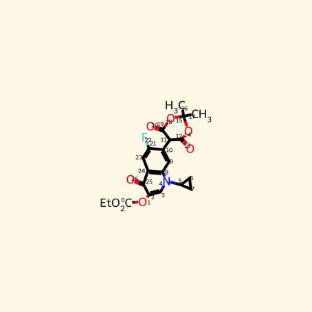 CCOC(=O)Oc1cn(C2CC2)c2cc(C3C(=O)OC(C)(C)OC3=O)c(F)cc2c1=O